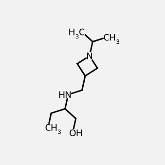 CCC(CO)NCC1CN(C(C)C)C1